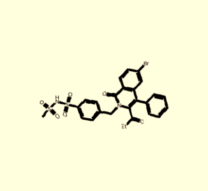 CCC(=O)c1c(-c2ccccc2)c2cc(Br)ccc2c(=O)n1Cc1ccc(S(=O)(=O)NS(C)(=O)=O)cc1